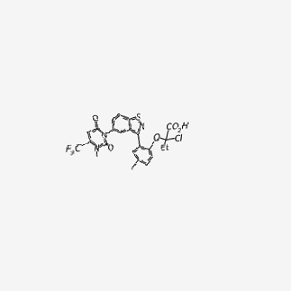 CCC(Cl)(Oc1ccc(C)cc1-c1nsc2ccc(-n3c(=O)cc(C(F)(F)F)n(C)c3=O)cc12)C(=O)O